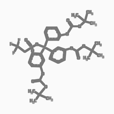 CC(C)(C)OC(=O)Oc1cccc(S(OS(=O)(=O)CC(F)(F)F)(c2cccc(OC(=O)OC(C)(C)C)c2)c2cccc(OC(=O)OC(C)(C)C)c2)c1